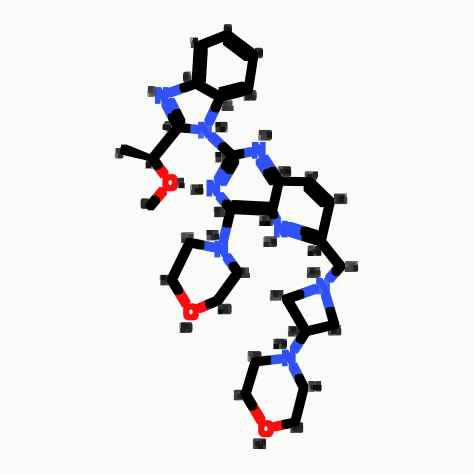 CO[C@@H](C)c1nc2ccccc2n1-c1nc(N2CCOCC2)c2nc(CN3CC(N4CCOCC4)C3)ccc2n1